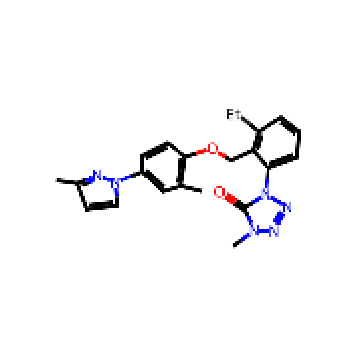 CCc1cccc(-n2nnn(C)c2=O)c1COc1ccc(-n2ccc(C)n2)cc1C